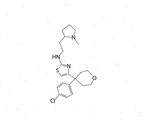 CN1CCCC1CCNc1nc(C2(c3ccc(Cl)cc3)CCOCC2)cs1